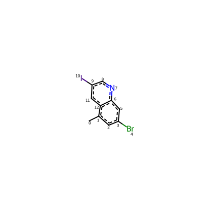 Cc1cc(Br)cc2ncc(I)cc12